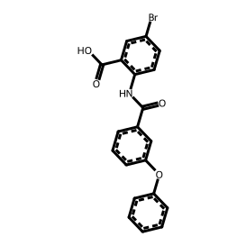 O=C(Nc1ccc(Br)cc1C(=O)O)c1cccc(Oc2ccccc2)c1